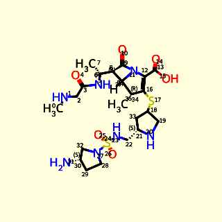 CNCC(=O)N[C@H](C)[C@H]1C(=O)N2C(C(=O)O)=C(SC3CN[C@H](CNS(=O)(=O)N4CC[C@H](N)C4)C3)[C@H](C)[C@H]12